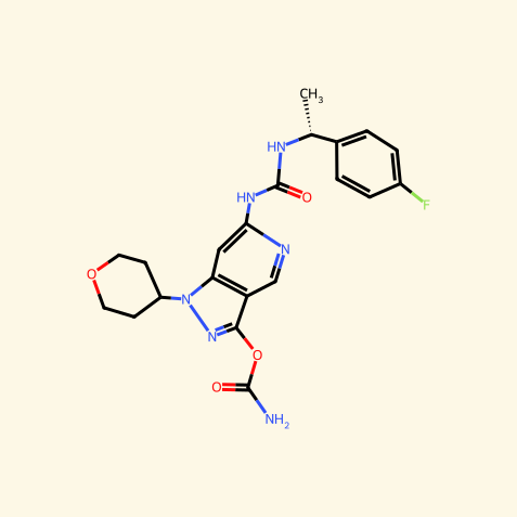 C[C@@H](NC(=O)Nc1cc2c(cn1)c(OC(N)=O)nn2C1CCOCC1)c1ccc(F)cc1